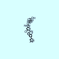 Cc1cc(-c2cc(F)c3c(c2)CC[C@@H]3Nc2nc3nc(O[C@@H]4CO[C@H]5[C@@H]4OC[C@H]5O)[nH]c3cc2Cl)cnn1